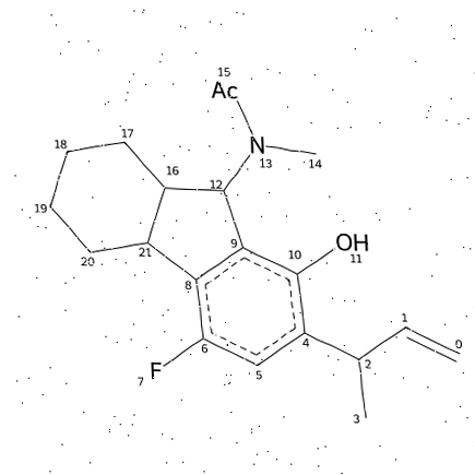 C=CC(C)c1cc(F)c2c(c1O)C(N(C)C(C)=O)C1CCCCC21